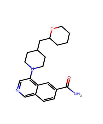 NC(=O)c1ccc2cncc(N3CCC(CC4CCCCO4)CC3)c2c1